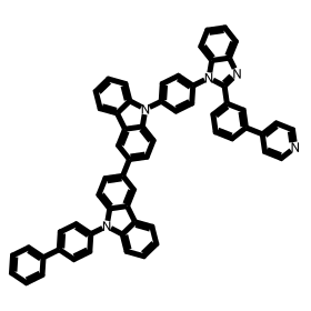 c1ccc(-c2ccc(-n3c4ccccc4c4cc(-c5ccc6c(c5)c5ccccc5n6-c5ccc(-n6c(-c7cccc(-c8ccncc8)c7)nc7ccccc76)cc5)ccc43)cc2)cc1